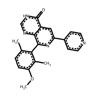 COc1ccc(C)c(-c2nc(-c3ccncc3)cc3c(=O)[nH]cnc23)c1C